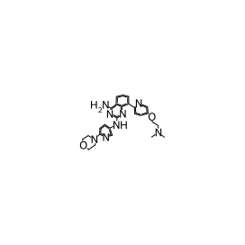 CN(C)CCOc1ccc(-c2cccc3c(N)nc(Nc4ccc(N5CCOCC5)nc4)nc23)nc1